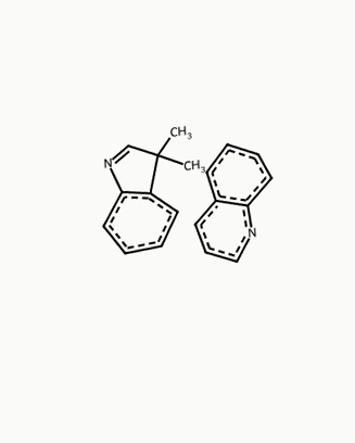 CC1(C)C=Nc2ccccc21.c1ccc2ncccc2c1